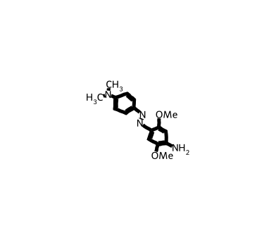 COc1cc(N=Nc2ccc(N(C)C)cc2)c(OC)cc1N